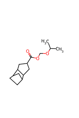 CC(C)OCOC(=O)C1CC2C3CCC(C3)C2C1